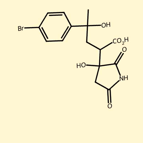 CC(O)(CC(C(=O)O)C1(O)CC(=O)NC1=O)c1ccc(Br)cc1